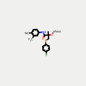 CCCCCOC(C)(CSc1ccc(F)cc1)C(=O)Nc1ccc(C#N)c(C(F)(F)F)c1